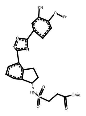 COC(=O)CCS(=O)(=O)N[C@H]1CCc2c(-c3noc(-c4ccc(OC(C)C)c(C#N)c4)n3)cccc21